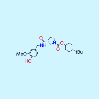 COc1cc(CNC(=O)C2CCN(C(=O)OC3CCC(C(C)(C)C)CC3)C2)ccc1O